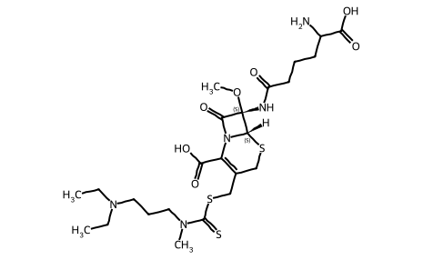 CCN(CC)CCCN(C)C(=S)SCC1=C(C(=O)O)N2C(=O)[C@](NC(=O)CCCC(N)C(=O)O)(OC)[C@@H]2SC1